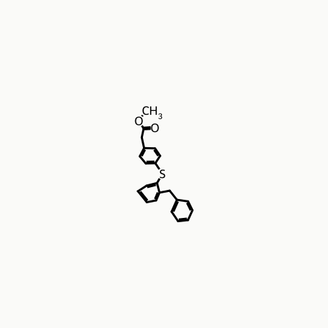 COC(=O)Cc1ccc(Sc2ccccc2Cc2ccccc2)cc1